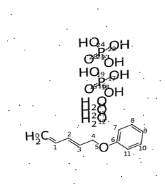 C=CC=CCOc1ccccc1.O.O.O.O=P(O)(O)O.O=P(O)(O)O